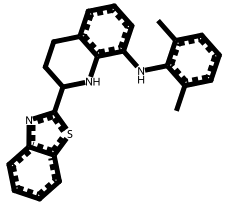 Cc1cccc(C)c1Nc1cccc2c1NC(c1nc3ccccc3s1)CC2